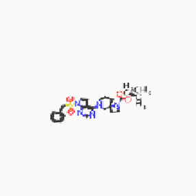 CC(C)(C)OC(=O)N1CCC12CCCN(c1ncnc3c1ccn3S(=O)(=O)Cc1ccccc1)C2